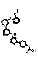 CCOc1ccccc1O[C@@H]1CCCN(c2cncc(Nc3nccc(N4CCN(CC(=O)O)CC4)n3)n2)C1